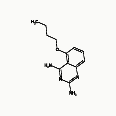 CCCCOc1cccc2nc(N)nc(N)c12